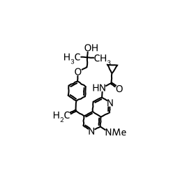 C=C(c1ccc(OCC(C)(C)O)cc1)c1cnc(NC)c2cnc(NC(=O)C3CC3)cc12